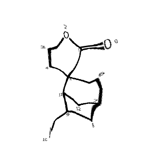 O=C1OCCC12CC1CC(I)C2C1